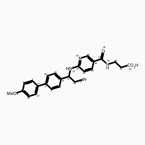 COc1ccc(-c2ccc(C(CC(C)C)Nc3ccc(C(=O)NCCC(=O)O)cn3)cc2)cc1